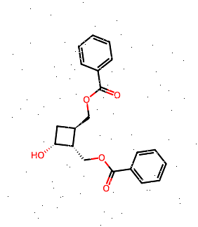 O=C(OC[C@@H]1C[C@@H](O)[C@H]1COC(=O)c1ccccc1)c1ccccc1